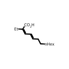 CCCCCCCCC=CC=C(CC)C(=O)O